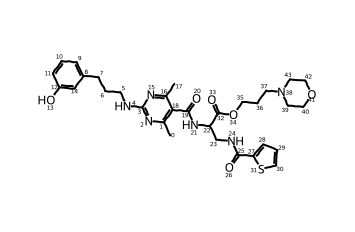 Cc1nc(NCCCc2cccc(O)c2)nc(C)c1C(=O)NC(CNC(=O)c1cccs1)C(=O)OCCCN1CCOCC1